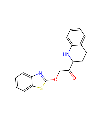 O=C(COc1nc2ccccc2s1)C1CCc2ccccc2N1